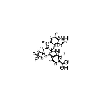 COc1cc(C)c2[nH]ccc2c1CN1CCC2(CC1c1ccc(C(=O)O)nc1N)CC(F)(F)C2